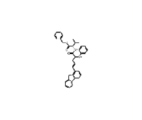 CC(C)[C@H](NC(=O)C(CC=Cc1cccc2c1Cc1ccccc1-2)Nc1ccccc1)C(=O)OCc1ccccc1